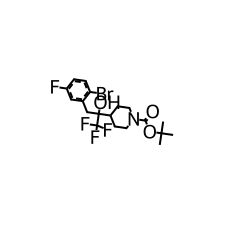 CC(C)(C)OC(=O)N1CCC(C(O)(Cc2cc(F)ccc2Br)C(F)(F)F)CC1